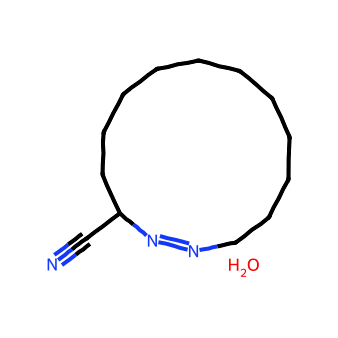 N#CC1CCCCCCCCCCCN=N1.O